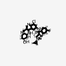 BC(Nc1cc(Cl)c2ncc(C#N)c(N[C@@H]3CCC[C@@H](O)C3)c2c1)(c1ccc(F)cc1)c1cn(C2CC2)nn1